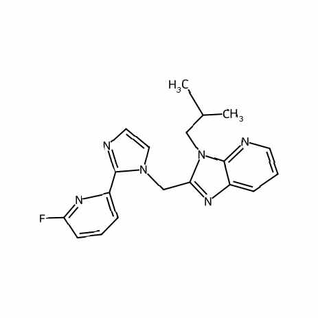 CC(C)Cn1c(Cn2ccnc2-c2cccc(F)n2)nc2cccnc21